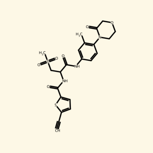 C#Cc1ccc(C(=O)NC(CS(C)(=O)=O)C(=O)Nc2ccc(N3CCOCC3=O)c(C)c2)s1